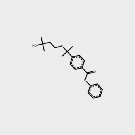 CC(C)(O)CCOC(C)(C)c1ccc(C(=O)Oc2ccccc2)cc1